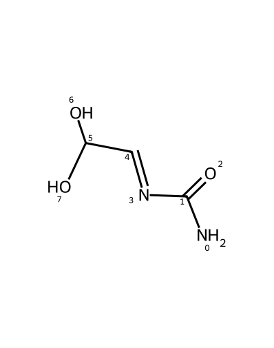 NC(=O)N=CC(O)O